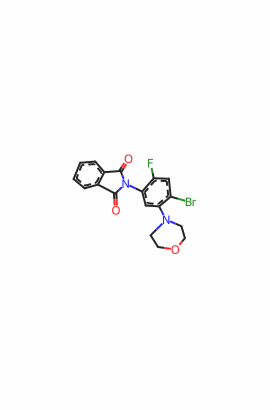 O=C1c2ccccc2C(=O)N1c1cc(N2CCOCC2)c(Br)cc1F